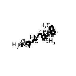 CC(=O)Nc1ccc(/C=C/C(=O)NC/C=C(/C)c2ccc(C)c(COc3cccc4ccc(C)nc34)c2C)cn1